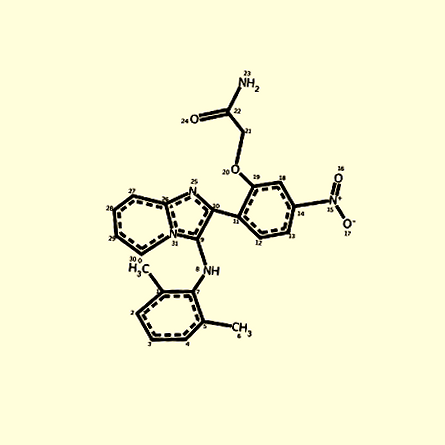 Cc1cccc(C)c1Nc1c(-c2ccc([N+](=O)[O-])cc2OCC(N)=O)nc2ccccn12